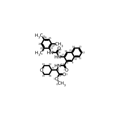 COC(=O)C(NC(=O)c1cc2ccccc2cc1NC(=O)Nc1c(C)cc(C)cc1C)C1CCOCC1